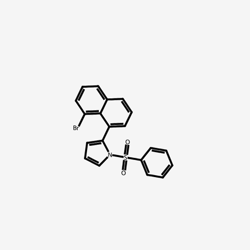 O=S(=O)(c1ccccc1)n1cccc1-c1cccc2cccc(Br)c12